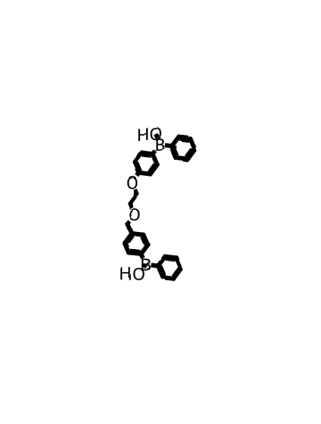 OB(c1ccccc1)c1ccc(COCCOc2ccc(B(O)c3ccccc3)cc2)cc1